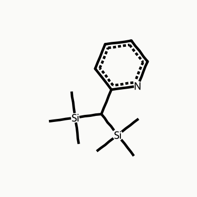 C[Si](C)(C)C(c1ccccn1)[Si](C)(C)C